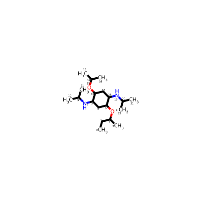 CCC(C)OC1CC(NC(C)C)C(OC(C)C)CC1NC(C)C